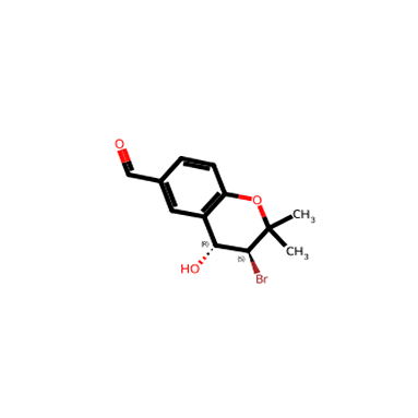 CC1(C)Oc2ccc(C=O)cc2[C@@H](O)[C@@H]1Br